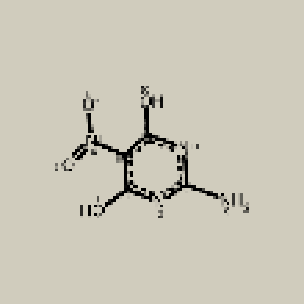 Nc1nc(O)c([N+](=O)[O-])c(O)n1